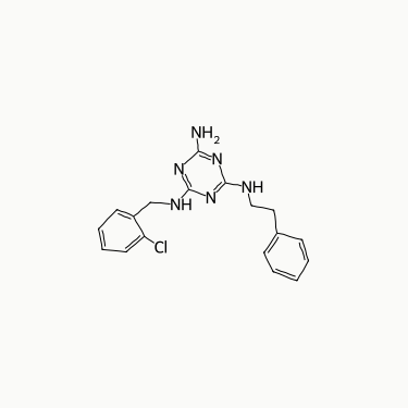 Nc1nc(NCCc2ccccc2)nc(NCc2ccccc2Cl)n1